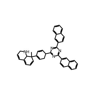 CC1(C2=CCC(c3nc(-c4ccc5ccccc5c4)nc(-c4ccc5ccccc5c4)n3)C=C2)C=CC=C2C=CCNC21